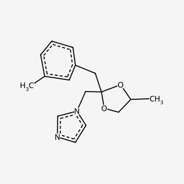 Cc1cccc(CC2(Cn3ccnc3)OCC(C)O2)c1